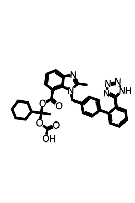 Cc1nc2cccc(C(=O)OC(C)(OC(=O)O)C3CCCCC3)c2n1Cc1ccc(-c2ccccc2-c2nnn[nH]2)cc1